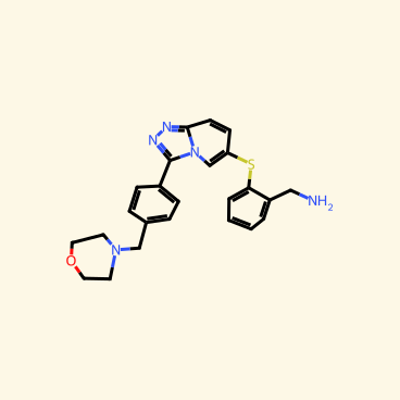 NCc1ccccc1Sc1ccc2nnc(-c3ccc(CN4CCOCC4)cc3)n2c1